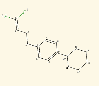 FC(F)=CCCc1ccc(C2CCCCC2)cc1